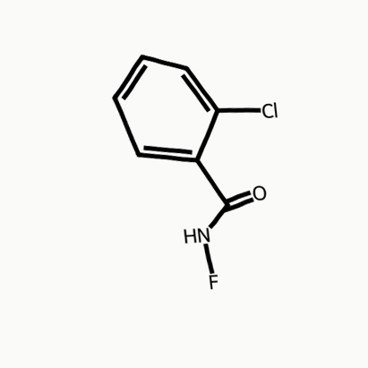 O=C(NF)c1ccccc1Cl